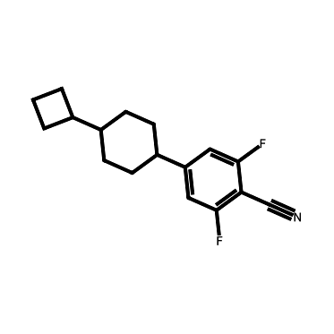 N#Cc1c(F)cc(C2CCC(C3CCC3)CC2)cc1F